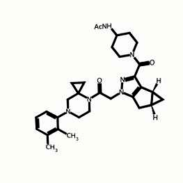 CC(=O)NC1CCN(C(=O)c2nn(CC(=O)N3CCN(c4cccc(C)c4C)CC34CC4)c3c2[C@@H]2C[C@@H]2C3)CC1